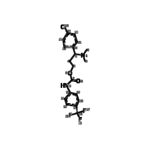 CN(C)C(CCOC(=O)Nc1ccc(C(F)(F)F)cc1)c1ccc(Cl)cc1